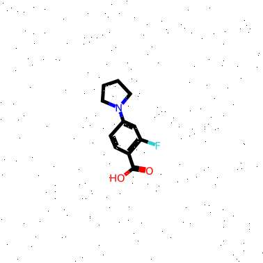 O=C(O)c1ccc(N2CCCC2)cc1F